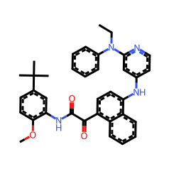 CCN(c1ccccc1)c1cc(Nc2ccc(C(=O)C(=O)Nc3cc(C(C)(C)C)ccc3OC)c3ccccc23)ccn1